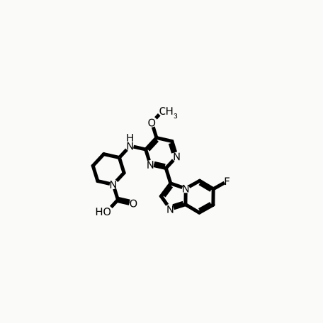 COc1cnc(-c2cnc3ccc(F)cn23)nc1NC1CCCN(C(=O)O)C1